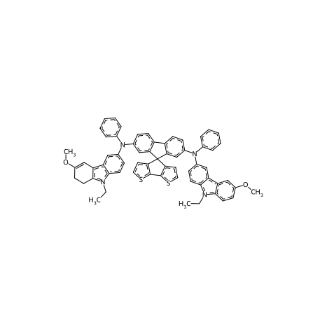 CCn1c2c(c3cc(N(c4ccccc4)c4ccc5c(c4)C4(c6cc(N(c7ccccc7)c7ccc8c(c7)c7cc(OC)ccc7n8CC)ccc6-5)c5ccsc5-c5sccc54)ccc31)C=C(OC)CC2